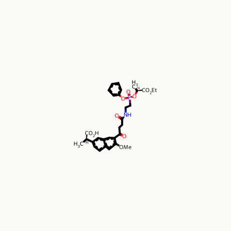 CCOC(=O)[C@H](C)OP(=O)(CCNC(=O)CCC(=O)c1cc2cc([C@@H](C)C(=O)O)ccc2cc1OC)Oc1ccccc1